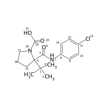 CC(C)(C)C1(C(=O)Nc2ccc(Cl)cc2)CCCN1C(=O)O